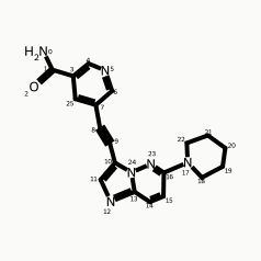 NC(=O)c1cncc(C#Cc2cnc3ccc(N4CCCCC4)nn23)c1